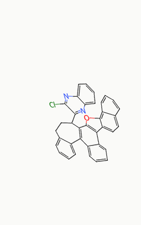 Clc1nc2ccccc2nc1C1CCc2ccccc2-c2c1c1oc3c4ccccc4ccc3c1c1ccccc21